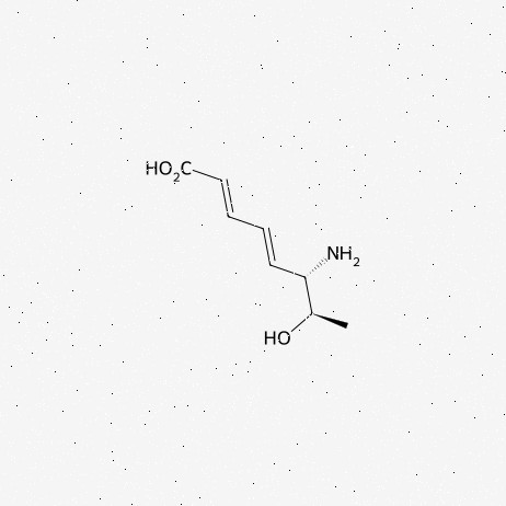 C[C@@H](O)[C@@H](N)/C=C/C=C/C(=O)O